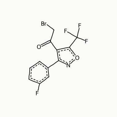 O=C(CBr)c1c(-c2cccc(F)c2)noc1C(F)(F)F